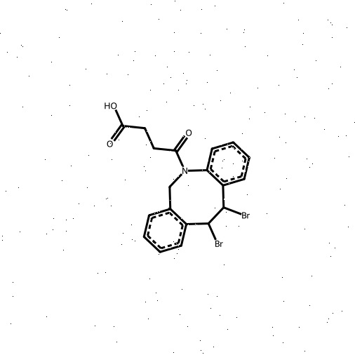 O=C(O)CCC(=O)N1Cc2ccccc2C(Br)C(Br)c2ccccc21